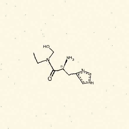 CCN(CO)C(=O)[C@@H](N)Cc1c[nH]cn1